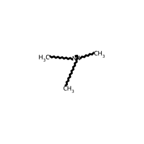 CCCCCCCCCCCCCCCC1N(CCCCCCCCC)C=CN1CCCCCCCCCCCCC